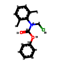 Cc1cccc(C)c1N(CCl)C(=O)Oc1ccccc1